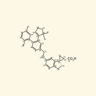 Cc1ccc(F)c(-c2ccc(COc3ccc4c(c3)[C@@]3(CC4)C[C@@H]3C(=O)O)cc2C2=CCCC2(C)C)c1